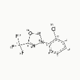 FC(F)(F)C1=NN(c2ccccc2Cl)CO1